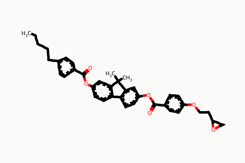 CCCCCc1ccc(C(=O)Oc2ccc3c(c2)C(C)(C)c2cc(OC(=O)c4ccc(OCCC5CO5)cc4)ccc2-3)cc1